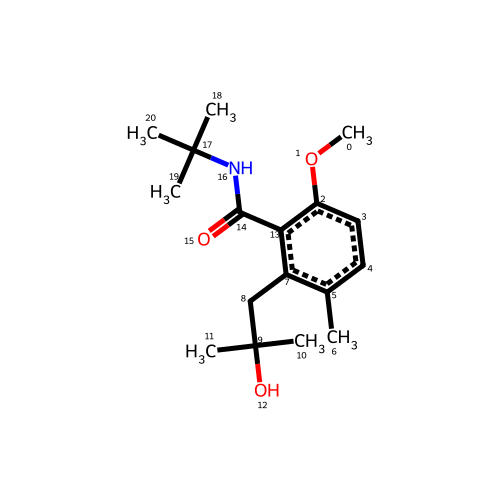 COc1ccc(C)c(CC(C)(C)O)c1C(=O)NC(C)(C)C